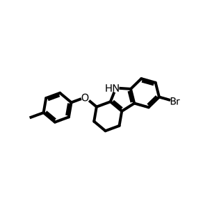 Cc1ccc(OC2CCCc3c2[nH]c2ccc(Br)cc32)cc1